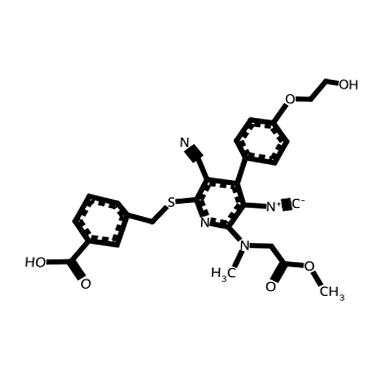 [C-]#[N+]c1c(N(C)CC(=O)OC)nc(SCc2cccc(C(=O)O)c2)c(C#N)c1-c1ccc(OCCO)cc1